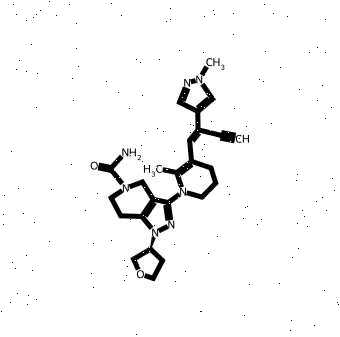 C#C/C(=C\C1=C(C)N(c2nn([C@H]3CCOC3)c3c2CN(C(N)=O)CC3)CCC1)c1cnn(C)c1